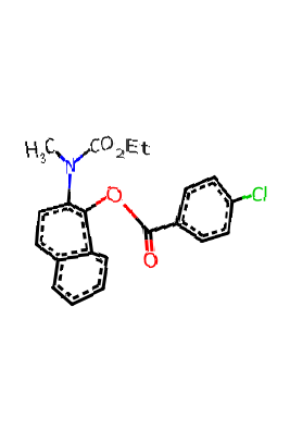 CCOC(=O)N(C)c1ccc2ccccc2c1OC(=O)c1ccc(Cl)cc1